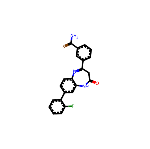 NC(=S)c1cccc(C2=Nc3ccc(-c4ccccc4F)cc3NC(=O)C2)c1